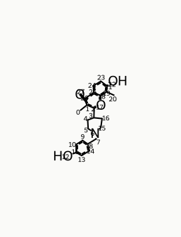 Cc1c(C2CCN(Cc3ccc(O)cc3)CC2)oc2c(C)c(O)ccc2c1=O